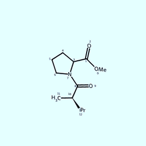 COC(=O)C1CCCN1C(=O)[C@H](C)C(C)C